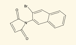 O=C1C=CC(=O)N1c1cc2ccccc2cc1Br